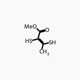 COC(=O)C(S)=C(C)S